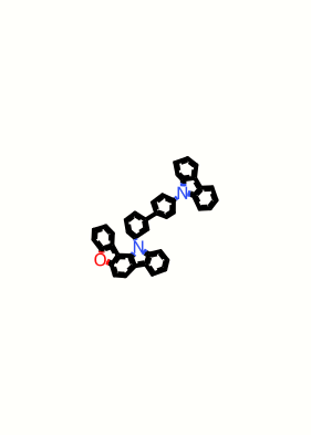 c1cc(-c2ccc(-n3c4ccccc4c4ccccc43)cc2)cc(-n2c3ccccc3c3ccc4oc5ccccc5c4c32)c1